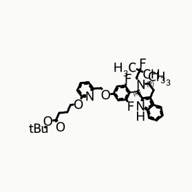 C[C@@H]1Cc2c([nH]c3ccccc23)[C@@H](c2c(F)cc(OCc3cccc(OCCCC(=O)OC(C)(C)C)n3)cc2F)N1CC(C)(C)F